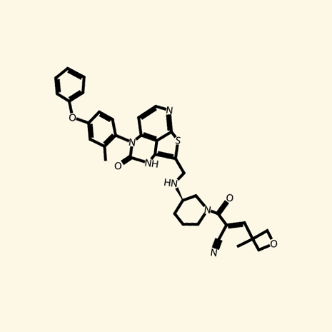 Cc1cc(Oc2ccccc2)ccc1N1C(=O)Nc2c(CN[C@@H]3CCCN(C(=O)/C(C#N)=C/C4(C)COC4)C3)sc3nccc1c23